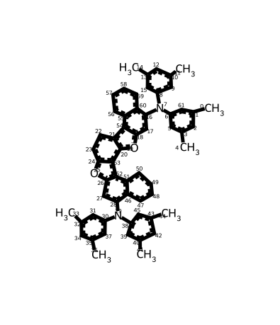 Cc1cc(C)cc(N(c2cc(C)cc(C)c2)c2cc3oc4c(ccc5oc6cc(N(c7cc(C)cc(C)c7)c7cc(C)cc(C)c7)c7ccccc7c6c54)c3c3ccccc23)c1